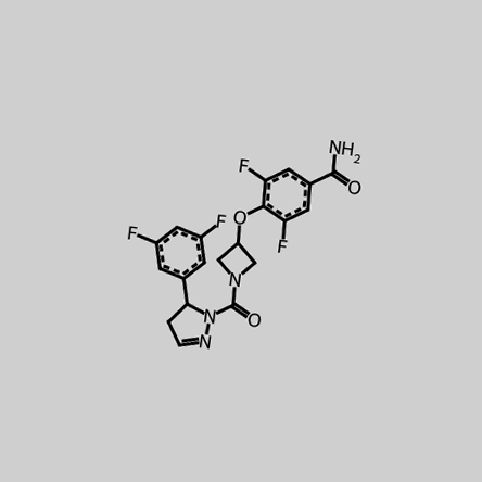 NC(=O)c1cc(F)c(OC2CN(C(=O)N3N=CCC3c3cc(F)cc(F)c3)C2)c(F)c1